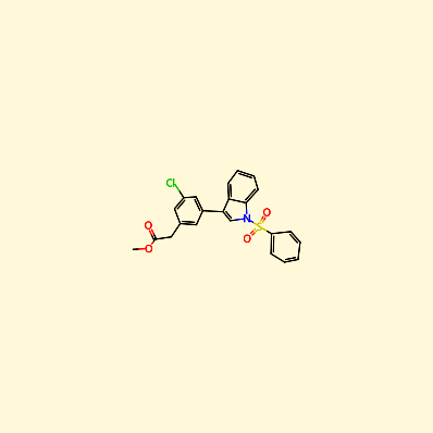 COC(=O)Cc1cc(Cl)cc(-c2cn(S(=O)(=O)c3ccccc3)c3ccccc23)c1